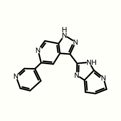 c1cncc(-c2cc3c(-c4nc5cccnc5[nH]4)n[nH]c3cn2)c1